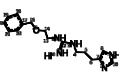 I.N=C(NCCCc1c[nH]cn1)NCCOCc1ccccc1